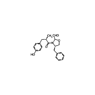 C[C@H](Cc1ccc(O)cc1)C(=O)N1C(C=O)OC[C@H]1Cc1ccccc1